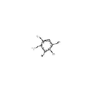 Nc1c(Cl)cc(Br)c(Cl)c1Br